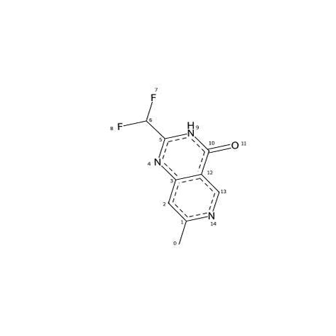 Cc1cc2nc(C(F)F)[nH]c(=O)c2cn1